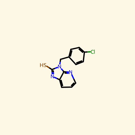 Sc1nc2cccnc2n1Cc1ccc(Cl)cc1